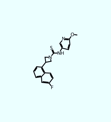 COc1ccc(NC(=S)N2CC(c3cccc4cc(F)ccc34)C2)cn1